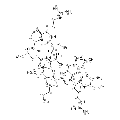 CSCC[C@H](NC(=O)[C@H](CO)NC(=O)[C@H](CCCNC(=N)N)NC(=O)[C@@H](C)CC(C)C)C(=O)N[C@H](C(=O)N[C@@H](CC(=O)O)C(=O)N[C@@H](CCCCN)C(=O)N[C@@H](Cc1ccc(O)cc1)C(=O)N[C@H](CCCNC(=N)N)C(=O)N[C@@H](CC(C)C)C(N)=O)[C@@H](C)O